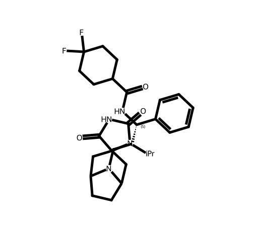 CC(C)N1C(=O)NC(=O)C12CC1CCC(C2)N1CC[C@H](NC(=O)C1CCC(F)(F)CC1)c1ccccc1